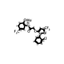 COC1=C(NC(=O)COc2cc(C(F)(F)F)nn2-c2ccccc2Cl)C=C(C(F)(F)F)CC1